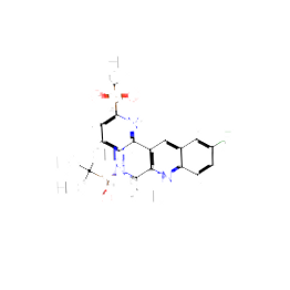 C[C@H](N[S@+]([O-])C(C)(C)C)c1nc2ccc(F)cc2cc1-c1cccc(S(C)(=O)=O)n1